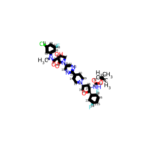 CN(C(=O)[C@@]1(O)CCN(c2cnc(C3=CCN([C@H]4CO[C@H](c5cc(F)ccc5F)[C@@H](NC(=O)OC(C)(C)C)C4)CC3)nc2)C1=O)c1cc(F)cc(Cl)c1